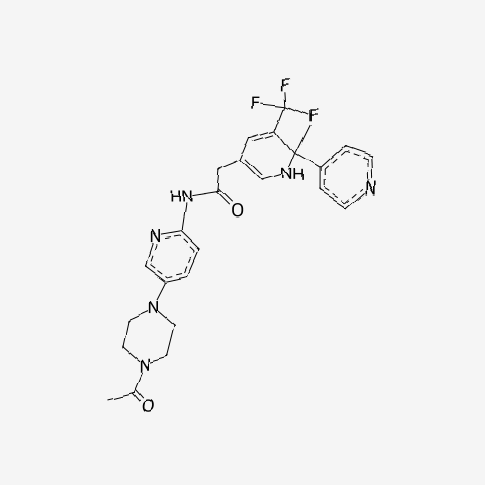 CC(=O)N1CCN(c2ccc(NC(=O)CC3=CNC(C)(c4ccncc4)C(C(F)(F)F)=C3)nc2)CC1